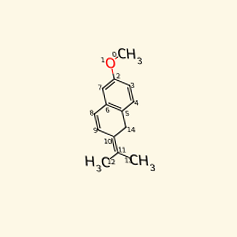 COc1ccc2c(c1)C=CC(=C(C)C)C2